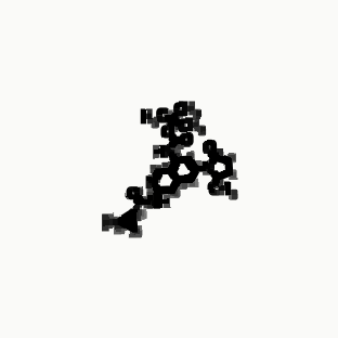 CC1CCC(=O)N1c1cc(NC(=O)OC(C)(C)C)c2cnc(NC(=O)[C@@H]3C[C@@H]3F)cc2c1